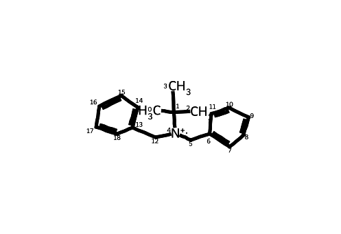 CC(C)(C)[N+](Cc1ccccc1)Cc1ccccc1